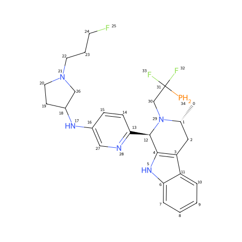 C[C@@H]1Cc2c([nH]c3ccccc23)[C@@H](c2ccc(NC3CCN(CCCF)C3)cn2)N1CC(F)(F)P